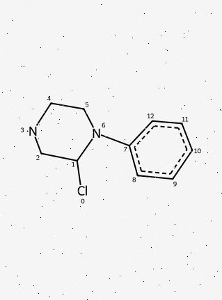 ClC1C[N]CCN1c1ccccc1